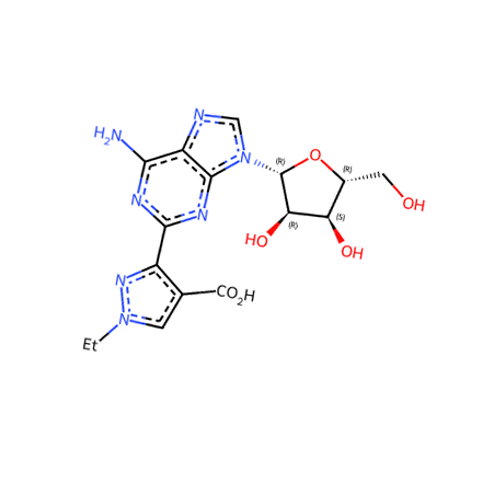 CCn1cc(C(=O)O)c(-c2nc(N)c3ncn([C@@H]4O[C@H](CO)[C@@H](O)[C@H]4O)c3n2)n1